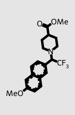 COC(=O)C1CCN(C(c2ccc3cc(OC)ccc3c2)C(F)(F)F)CC1